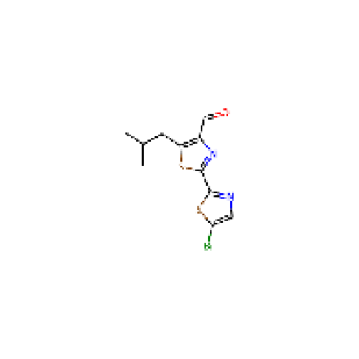 CC(C)Cc1sc(-c2ncc(Br)s2)nc1C=O